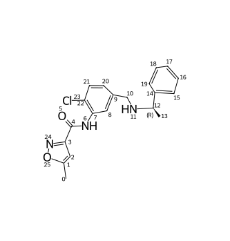 Cc1cc(C(=O)Nc2cc(CN[C@H](C)c3ccccc3)ccc2Cl)no1